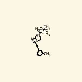 Cc1cccc(C#Cc2nnc3n2CCN(C(=O)OC(C)(C)C)C3)c1